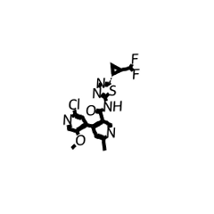 COc1cnc(Cl)cc1-c1cc(C)ncc1C(=O)Nc1nnc([C@@H]2CC2C(F)F)s1